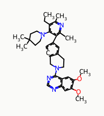 CCc1c(C)nc(C)c(-c2ccc3c(c2)CCN(c2ncnc4cc(OC)c(OC)cc24)C3)c1N1CCC(C)(C)CC1